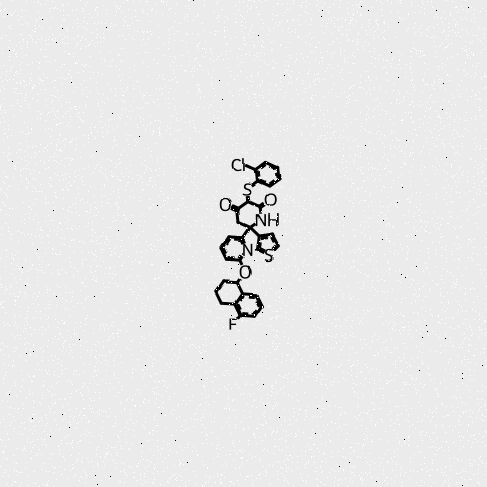 O=C1CC(c2ccsc2)(c2cccc(OC3CCCc4c(F)cccc43)n2)NC(=O)C1Sc1ccccc1Cl